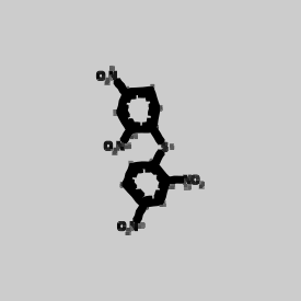 O=[N+]([O-])c1ccc(Sc2ccc([N+](=O)[O-])cc2[N+](=O)[O-])c([N+](=O)[O-])c1